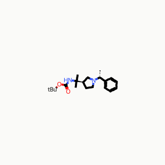 C[C@H](c1ccccc1)N1CC[C@@H](C(C)(C)NC(=O)OC(C)(C)C)C1